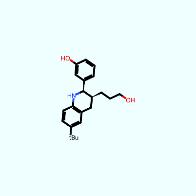 CC(C)(C)c1ccc2c(c1)C[C@H](CCCO)[C@H](c1cccc(O)c1)N2